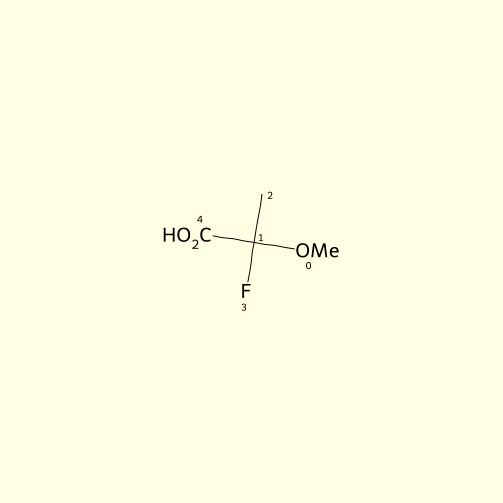 COC(C)(F)C(=O)O